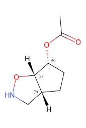 CC(=O)O[C@@H]1CC[C@@H]2CNO[C@@H]21